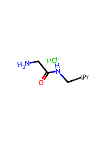 CC(C)CNC(=O)CN.Cl